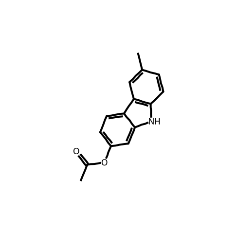 CC(=O)Oc1ccc2c(c1)[nH]c1ccc(C)cc12